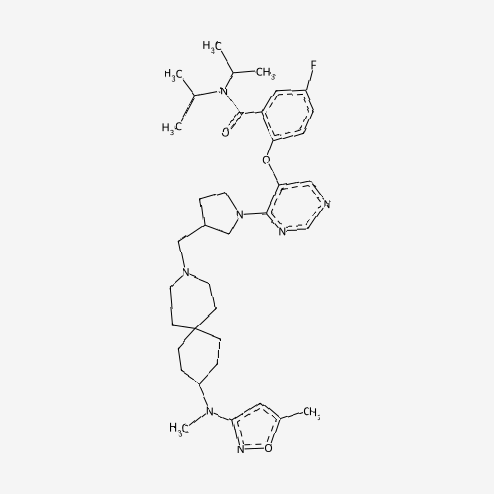 Cc1cc(N(C)C2CCC3(CC2)CCN(CC2CCN(c4ncncc4Oc4ccc(F)cc4C(=O)N(C(C)C)C(C)C)C2)CC3)no1